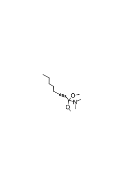 CCCCCC#CC(OC)(OC)N(C)C